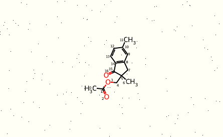 CC(=O)OCC1(C)Cc2cc(C)ccc2C1=O